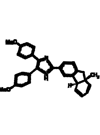 COc1ccc(-c2nc(-c3ccc4c(c3)[C@@H]3C=CC=C[C@@]3(C)C4)[nH]c2-c2ccc(OC)cc2)cc1